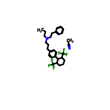 CC#N.CCCN(CCCc1ccc(C2C(C(F)(F)F)CCCC2C(F)(F)F)cc1)CCc1ccccc1